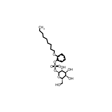 CCCCCCCCCOc1ccccc1OS(=O)(=O)O[C@@H]1O[C@H](CO)[C@H](O)[C@H](O)[C@H]1O